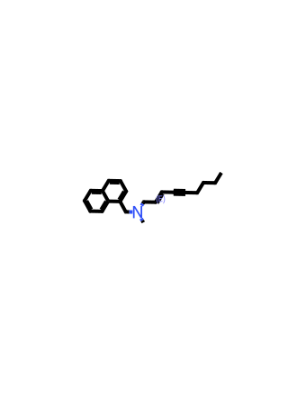 CCCCC#C/C=C/CN(C)Cc1cccc2ccccc12